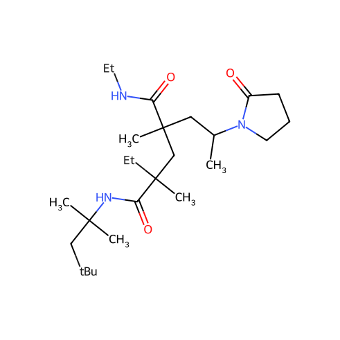 CCNC(=O)C(C)(CC(C)N1CCCC1=O)CC(C)(CC)C(=O)NC(C)(C)CC(C)(C)C